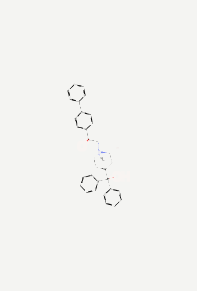 O=C(C[N+]12CCC(C(O)(c3ccccc3)c3ccccc3)(CC1)CC2)c1ccc(-c2ccccc2)cc1.[Br-]